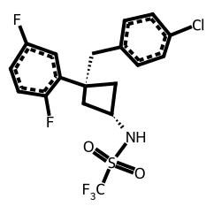 O=S(=O)(N[C@H]1C[C@](Cc2ccc(Cl)cc2)(c2cc(F)ccc2F)C1)C(F)(F)F